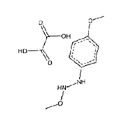 CONNc1ccc(OC)cc1.O=C(O)C(=O)O